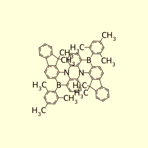 Cc1cc(C)c(B2c3cccc4c3N(c3cccc5c3N4c3c(ccc4c3C(C)(C)c3ccccc3-4)B5c3c(C)cc(C)cc3C)c3c2ccc2c3C(C)(C)c3ccccc3-2)c(C)c1